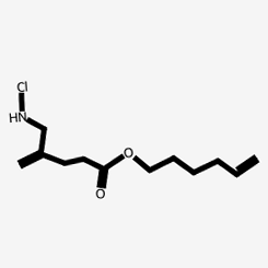 C=CCCCCOC(=O)CCC(=C)CNCl